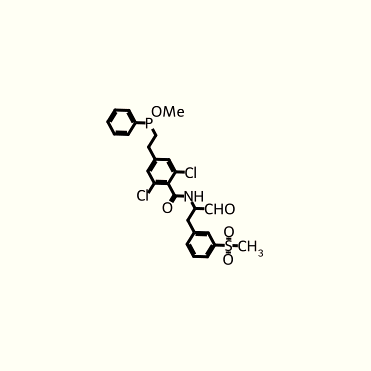 COP(CCc1cc(Cl)c(C(=O)NC(C=O)Cc2cccc(S(C)(=O)=O)c2)c(Cl)c1)c1ccccc1